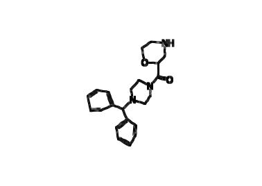 O=C(C1CNCCO1)N1CCN(C(c2ccccc2)c2ccccc2)CC1